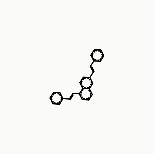 C(=C\c1ccc2c(/C=C/c3ccccc3)cccc2c1)/c1ccccc1